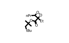 CCCC1OOC1(CC)C(=O)OC(C)(C)CC(C)(C)C